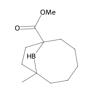 COC(=O)C12BC(C)(CCCCC1)CC2